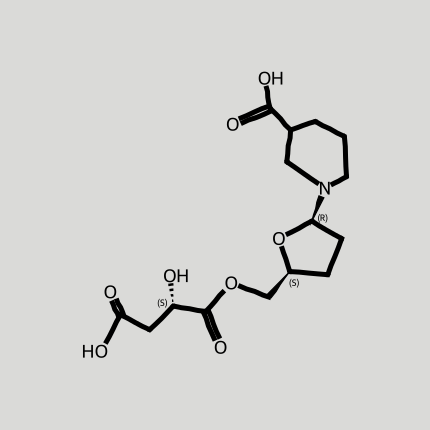 O=C(O)C[C@H](O)C(=O)OC[C@@H]1CC[C@H](N2CCCC(C(=O)O)C2)O1